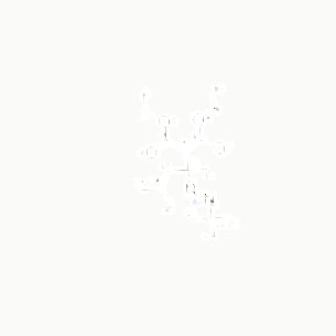 CCOC(=O)C(C(=O)OCC)C(C)(CC(C)C)/N=N/C(C)(C)C